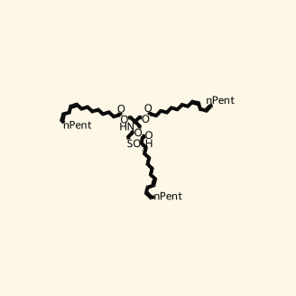 CCCCC/C=C\C/C=C\CCCCCCCC(=O)OCC(COC(=O)CCCCCCC/C=C\C/C=C\CCCCC)(COC(=O)CCCCCCC/C=C\C/C=C\CCCCC)NCCS(=O)(=O)O